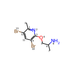 Cc1nc(OCC(C)N)c(Br)cc1Br